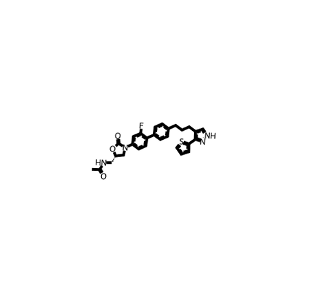 CC(=O)NC[C@H]1CN(c2ccc(-c3ccc(CCCc4c[nH]nc4-c4cccs4)cc3)c(F)c2)C(=O)O1